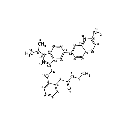 CCOC(=O)Cc1ccccc1OCc1nn(C(C)C)c2ccc(-c3ccc4ccc(N)nc4c3)cc12